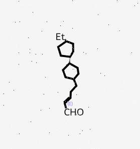 CC[C@H]1CC[C@H](C2CCC(CC/C=C/C=O)CC2)CC1